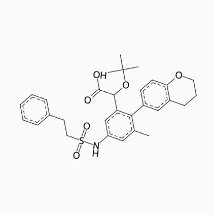 Cc1cc(NS(=O)(=O)CCc2ccccc2)cc(C(OC(C)(C)C)C(=O)O)c1-c1ccc2c(c1)CCCO2